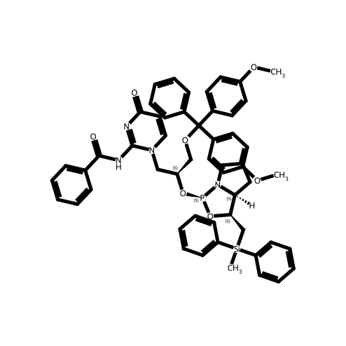 COc1ccc(C(OC[C@H](Cn2ccc(=O)nc2NC(=O)c2ccccc2)O[P@]2O[C@H](C[Si](C)(c3ccccc3)c3ccccc3)[C@@H]3CCCN32)(c2ccccc2)c2ccc(OC)cc2)cc1